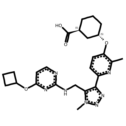 Cc1nc(-c2nnn(C)c2CNc2nccc(OC3CCC3)n2)ccc1O[C@H]1CCC[C@H](C(=O)O)C1